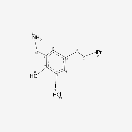 CC(C)CCc1cc(I)c(O)c(CN)c1.Cl